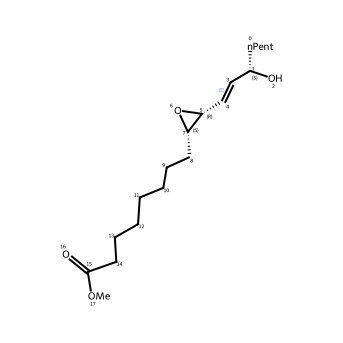 CCCCC[C@H](O)/C=C/[C@H]1O[C@H]1CCCCCCCC(=O)OC